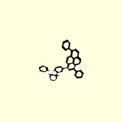 CC12CCCCC1(C)N(c1cccc(F)c1)c1ccc(-c3cc(-c4ccccc4)c4ccc5ccc(-c6ccccc6)c6ccc3c4c56)cc12